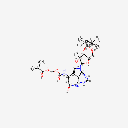 CC(C)C(=O)OCOC(=O)NC1=CC(=O)Nc2ncnc3c2c1cn3C1OC2CO[Si](C(C)(C)C)(C(C)(C)C)OC2C1(C)O